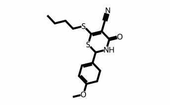 CCCCSC1=C(C#N)C(=O)NC(C2=CC=C(OC)CC2)S1